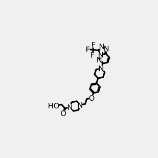 O=C(CO)N1CCN(CCOc2ccc(C3CCN(c4ccc5nnc(C(F)(F)F)n5n4)CC3)cc2)CC1